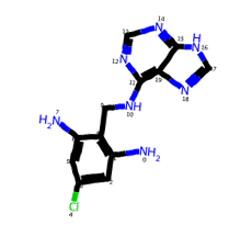 Nc1cc(Cl)cc(N)c1CNc1ncnc2[nH]cnc12